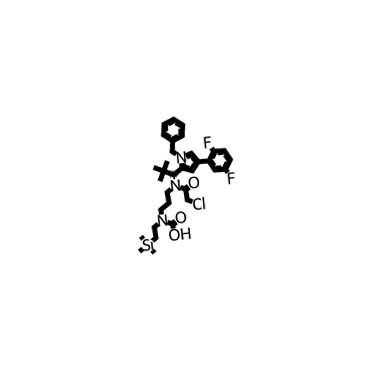 CC(C)(C)[C@H](c1cc(-c2cc(F)ccc2F)cn1Cc1ccccc1)N(CCCN(CC[Si](C)(C)C)C(=O)O)C(=O)CCl